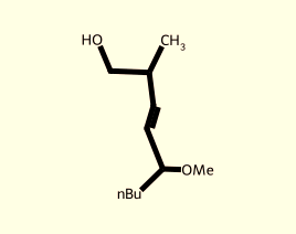 CCCCC(/C=C/C(C)CO)OC